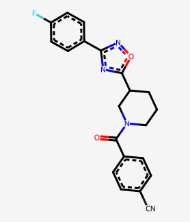 N#Cc1ccc(C(=O)N2CCCC(c3nc(-c4ccc(F)cc4)no3)C2)cc1